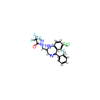 O=C(NCC1CN=C(c2ccccc2F)c2cc(Cl)ccc2N1)C(F)(F)F